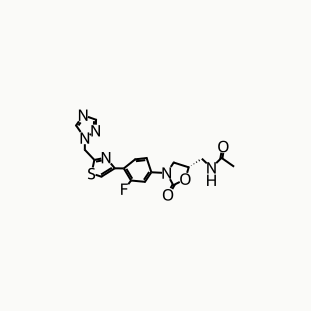 CC(=O)NC[C@H]1CN(c2ccc(-c3csc(Cn4cncn4)n3)c(F)c2)C(=O)O1